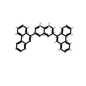 c1ccc2c(c1)cc(-c1cnc3ncc(-c4cc5ccccc5c5ccccc45)cc3c1)c1ccccc12